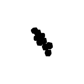 O=C1c2cccc3c(-c4ccc(-c5ccccc5)c5ccccc45)ccc(c23)C(=O)N1c1ccc2ccccc2c1